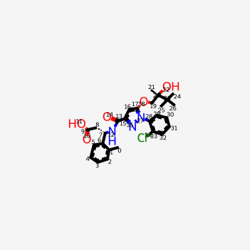 Cc1ccccc1[C@H](CC(=O)O)NC(=O)c1cc(OC[C@](C)(O)C(C)(C)C)n(-c2ccccc2Cl)n1